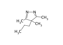 CCCC1(C)C(C)=NN=C1C